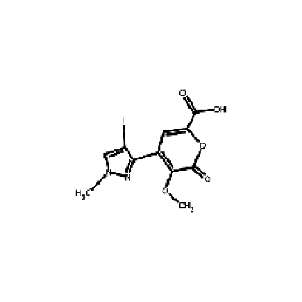 COc1c(-c2nn(C)cc2I)cc(C(=O)O)oc1=O